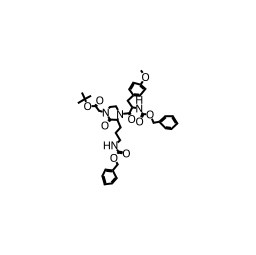 COc1ccc(CC(NC(=O)OCc2ccccc2)C(=O)N2CCN(CC(=O)OC(C)(C)C)C(=O)C2CCCNC(=O)OCc2ccccc2)cc1